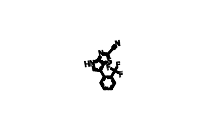 N#Cc1nc2[nH]cc(-c3ccccc3C(F)(F)F)c2s1